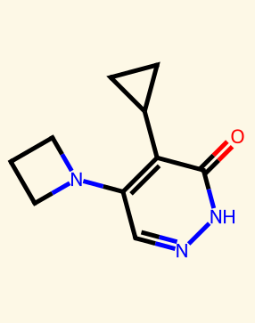 O=c1[nH]ncc(N2CCC2)c1C1CC1